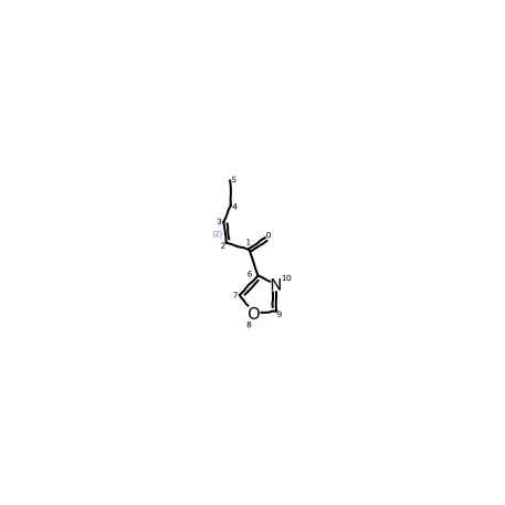 C=C(/C=C\CC)c1cocn1